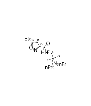 CCCN(CCC)C(C)(C)CNC(=O)c1cc(CC)on1